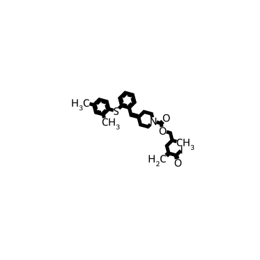 C=C(CC(C)COC(=O)N1CCC(=Cc2ccccc2Sc2ccc(C)cc2C)CC1)C(=O)I